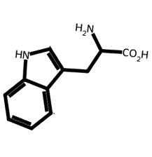 NC(Cc1[c][nH]c2ccc[c]c12)C(=O)O